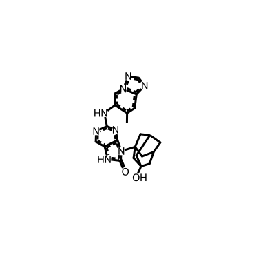 Cc1cc2ncnn2cc1Nc1ncc2[nH]c(=O)n(C34CC5CC(CC(O)(C5)C3)C4)c2n1